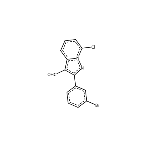 O=Cc1c(-c2cccc(Br)c2)nn2c(Cl)cccc12